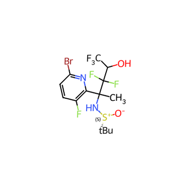 CC(C)(C)[S@@+]([O-])NC(C)(c1nc(Br)ccc1F)C(F)(F)C(O)C(F)(F)F